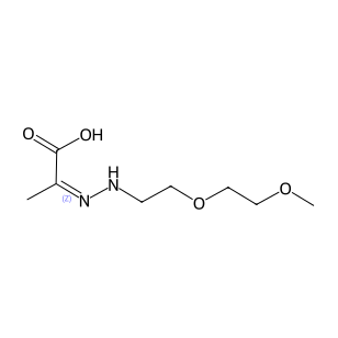 COCCOCCN/N=C(/C)C(=O)O